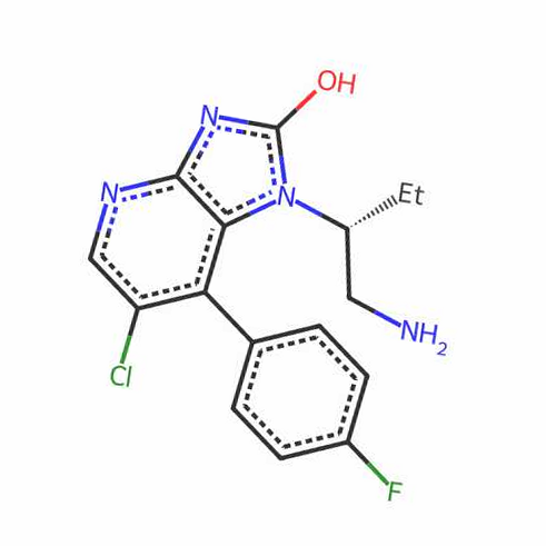 CC[C@H](CN)n1c(O)nc2ncc(Cl)c(-c3ccc(F)cc3)c21